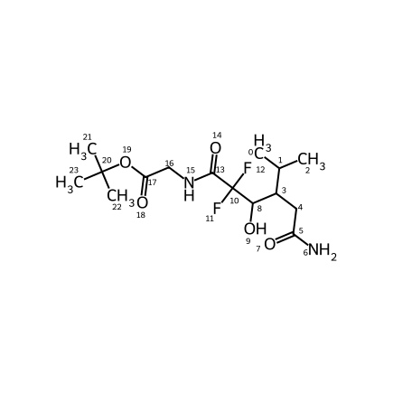 CC(C)C(CC(N)=O)C(O)C(F)(F)C(=O)NCC(=O)OC(C)(C)C